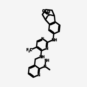 CN(S)c1ncccc1CNc1nc(Nc2ccc3c(c2)C2CCCC3S2(=O)=O)ncc1C(F)(F)F